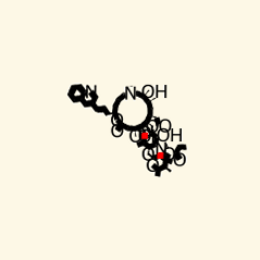 CCC(=O)OC1(C)C[C@H](O[C@@H]2C(C)O[C@@H](O[C@H]3[C@@H](CC=O)C[C@@H](C)[C@@H](O)CN(C)CCC[C@H](C/C=C/c4cnc5ccccc5c4)OC(=O)C[C@@H](O)[C@@H]3OC)C(O)C2N(C)C)OC(C)[C@@H]1C